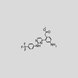 COC(=O)Cc1ccc(N)cc1-c1ccnc(Nc2ccc(C(F)(F)F)cc2)n1